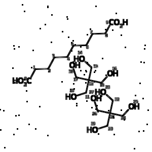 O=C(O)CCCCCCCCC(=O)O.OCC(CO)(CO)CO.OCC(CO)(CO)CO